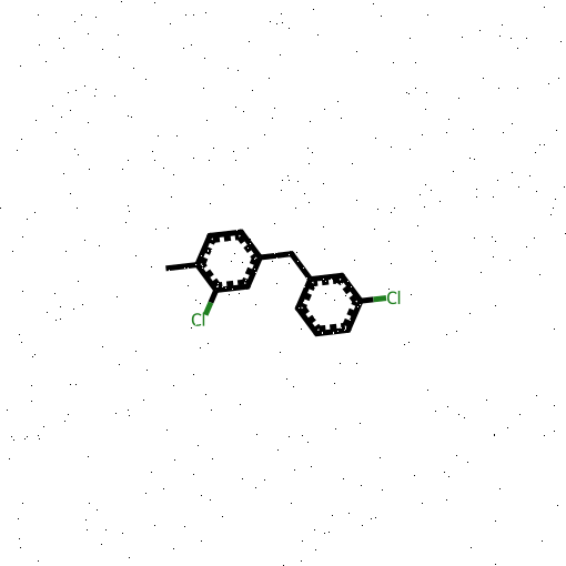 Cc1ccc(Cc2cccc(Cl)c2)cc1Cl